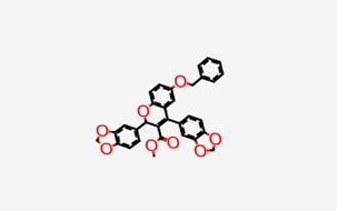 COC(=O)C1=C(c2ccc3c(c2)OCO3)c2cc(OCc3ccccc3)ccc2OC1c1ccc2c(c1)OCO2